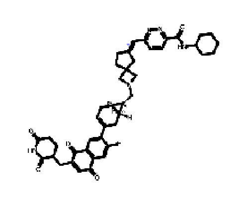 O=C1CCC(CC2=CC(=O)c3cc(F)c(C4=CC[C@H]5[C@@H](C4)[C@@H]5CN4CC5(CC/C(=C/c6ccc(C(=O)NC7CCCCC7)nn6)C5)C4)cc3C2=O)C(=O)N1